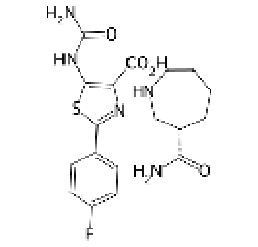 NC(=O)Nc1sc(-c2ccc(F)cc2)nc1C(=O)O.NC(=O)[C@H]1CCCCNC1